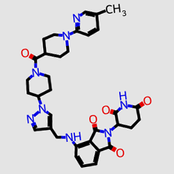 Cc1ccc(N2CCC(C(=O)N3CCC(n4cc(CNc5cccc6c5C(=O)N(C5CCC(=O)NC5=O)C6=O)cn4)CC3)CC2)nc1